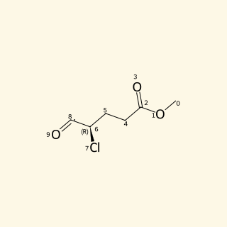 COC(=O)CC[C@@H](Cl)[C]=O